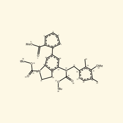 COC(=O)c1ccccc1-c1cc2c(c(N(Cc3ncc(C)c(OC)c3C)C(=O)OC(C)(C)C)c1)CCN2C(=O)OC(C)(C)C